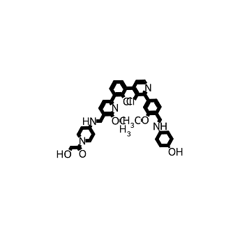 COc1cc(-c2nccc(-c3cccc(-c4ccc(CNC5CCN(C(=O)CO)CC5)c(OC)n4)c3Cl)c2Cl)ccc1CN[C@H]1CC[C@H](O)CC1